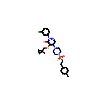 Cc1ccc(CCS(=O)(=O)N2CCN(c3cnn(-c4cccc(Cl)c4)c(=O)c3OCC3(C)CC3)CC2)cc1